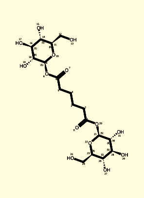 O=C(CCCCC(=O)O[C@@H]1O[C@H](CO)[C@@H](O)[C@H](O)[C@H]1O)O[C@@H]1O[C@H](CO)[C@@H](O)[C@H](O)[C@H]1O